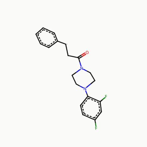 O=C(C[CH]c1ccccc1)N1CCN(c2ccc(F)cc2F)CC1